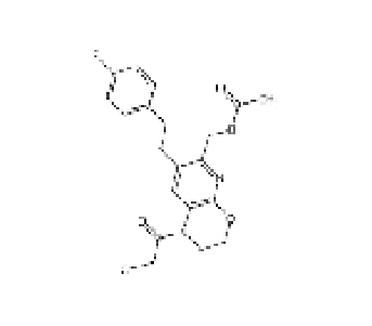 CC(=O)OCc1nc2c(cc1CCc1ccc(F)cc1)N(C(=O)CCl)CCO2